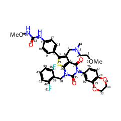 COCCN(C)Cc1c(-c2ccc(NC(=O)NOC)cc2)sc2c1c(=O)n(-c1ccc3c(c1)OCCO3)c(=O)n2Cc1c(F)cccc1F